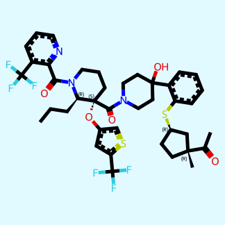 CCC[C@H]1N(C(=O)c2ncccc2C(F)(F)F)CCC[C@@]1(Oc1csc(C(F)(F)F)c1)C(=O)N1CCC(O)(c2ccccc2S[C@@H]2CC[C@@](C)(C(C)=O)C2)CC1